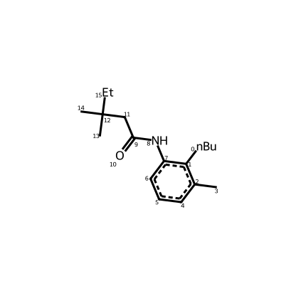 CCCCc1c(C)cccc1NC(=O)CC(C)(C)CC